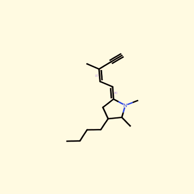 C#C/C(C)=C\C=C1/CC(CCCC)C(C)N1C